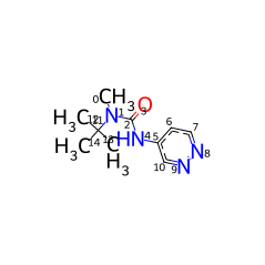 CN(C(=O)Nc1ccnnc1)C(C)(C)C